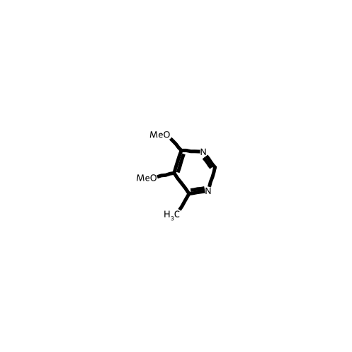 COc1ncnc(C)c1OC